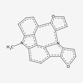 Cn1c2cccc3c4occc4n4c5ccoc5c5ccc1c(c32)c54